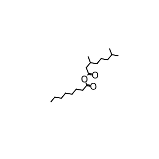 CCCCCCCC(=O)OC(=O)CC(C)CCCC(C)C